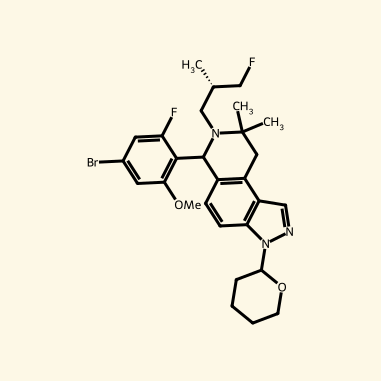 COc1cc(Br)cc(F)c1C1c2ccc3c(cnn3C3CCCCO3)c2CC(C)(C)N1C[C@H](C)CF